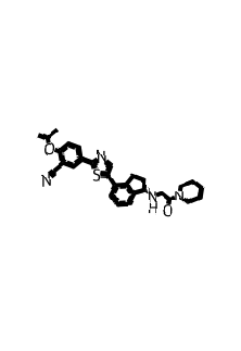 CC(C)Oc1ccc(-c2ncc(-c3cccc4c3CC[C@@H]4NCC(=O)N3CCCCC3)s2)cc1C#N